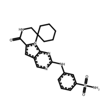 NS(=O)(=O)c1cccc(Nc2ncc3cc4n(c3n2)C2(CCCCC2)CNC4=O)c1